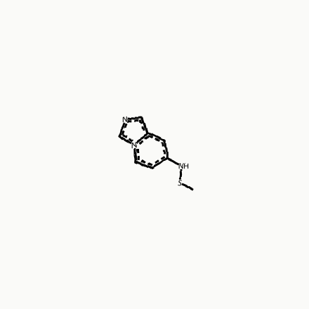 CSNc1ccn2cncc2c1